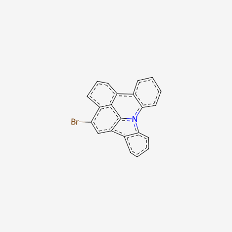 Brc1cc2c3ccccc3n3c4ccccc4c4cccc1c4c23